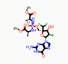 CC(C)OC(=O)[C@H](C)N[PH](S)(N[C@@H](C)C(=O)OC(C)C)OC[C@@]1(C(F)F)O[C@@H](n2cnc3c(=O)[nH]c(N)nc32)[C@H](F)[C@@H]1O